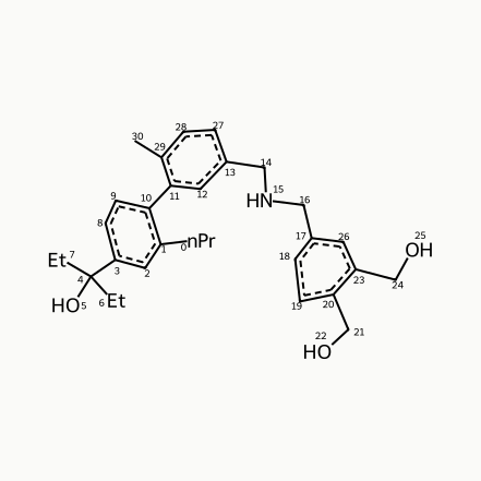 CCCc1cc(C(O)(CC)CC)ccc1-c1cc(CNCc2ccc(CO)c(CO)c2)ccc1C